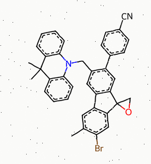 Cc1cc2c(cc1Br)C1(CO1)c1cc(-c3ccc(C#N)cc3)c(CN3c4ccccc4C(C)(C)c4ccccc43)cc1-2